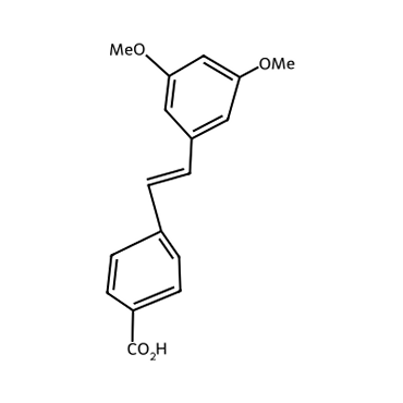 COc1cc(C=Cc2ccc(C(=O)O)cc2)cc(OC)c1